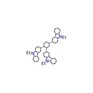 CCn1c2ccccc2c2cc(-c3ccc(-c4ccc5c(c4)c4ccccc4n5CC)c(-c4ccc5c(c4)c4ccccc4n5CC)c3)ccc21